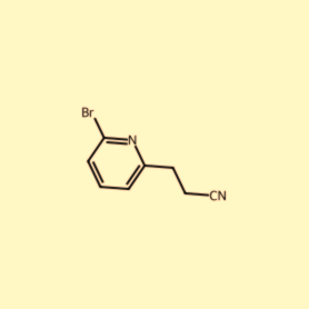 N#CCCc1cccc(Br)n1